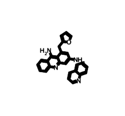 Nc1cc(Cc2ccco2)c2c(N)c3ccccc3nc2c1.c1ccc2ncccc2c1